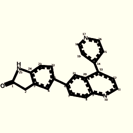 O=C1Cc2cc(-c3ccc4nccc(-c5ccncc5)c4c3)ccc2N1